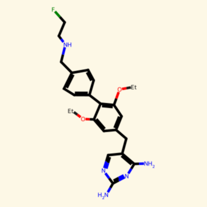 CCOc1cc(Cc2cnc(N)nc2N)cc(OCC)c1-c1ccc(CNCCF)cc1